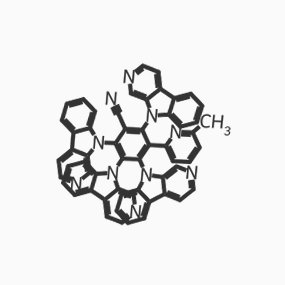 Cc1cccc(-c2c(-n3c4ccccc4c4ccncc43)c(C#N)c(-n3c4ccccc4c4ccncc43)c(-n3c4ccccc4c4ccncc43)c2-n2c3ccccc3c3ccncc32)n1